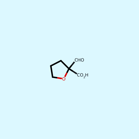 O=CC1(C(=O)O)CCCO1